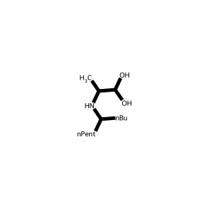 CCCCCC(CCCC)NC(C)C(O)O